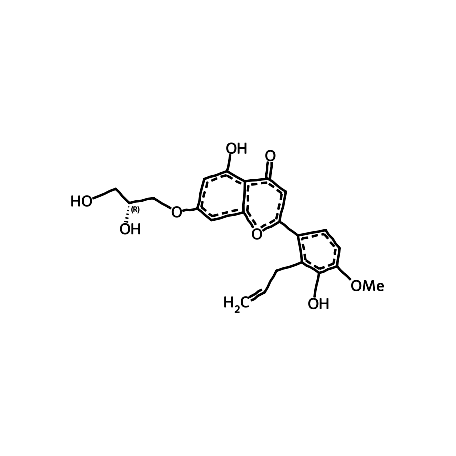 C=CCc1c(-c2cc(=O)c3c(O)cc(OC[C@H](O)CO)cc3o2)ccc(OC)c1O